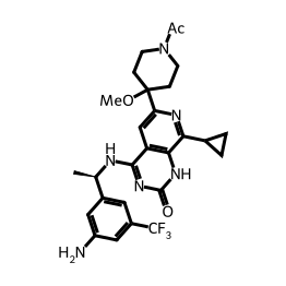 COC1(c2cc3c(N[C@H](C)c4cc(N)cc(C(F)(F)F)c4)nc(=O)[nH]c3c(C3CC3)n2)CCN(C(C)=O)CC1